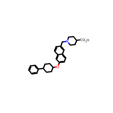 O=C(O)C1CCN(Cc2ccc3cc(OC4CCC(c5ccccc5)CC4)ccc3c2)CC1